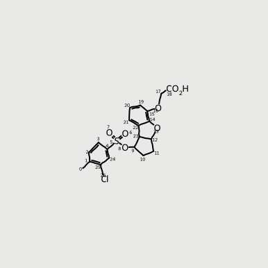 Cc1ccc(S(=O)(=O)OC2CCC3Oc4c(OCC(=O)O)cccc4C32)cc1Cl